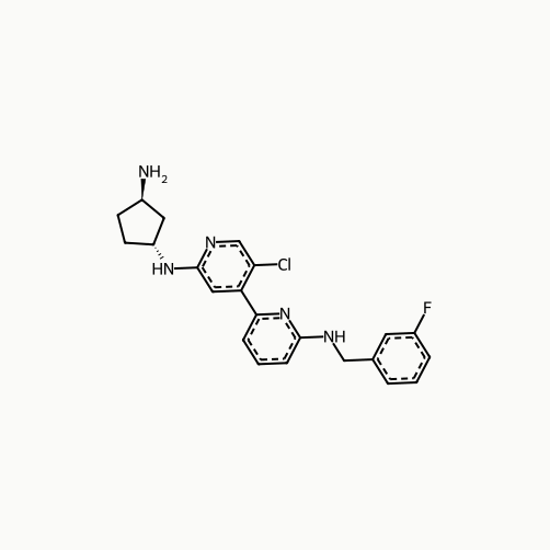 N[C@@H]1CC[C@@H](Nc2cc(-c3cccc(NCc4cccc(F)c4)n3)c(Cl)cn2)C1